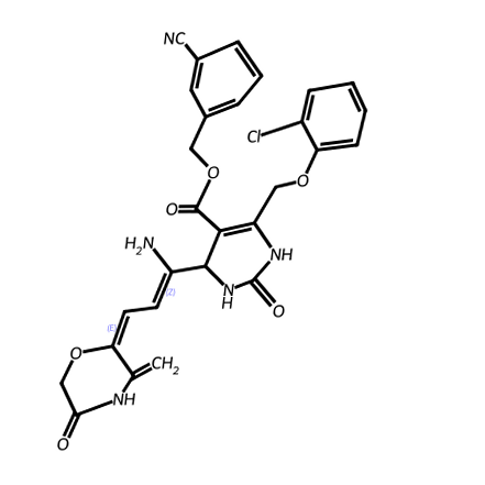 C=C1NC(=O)CO/C1=C/C=C(\N)C1NC(=O)NC(COc2ccccc2Cl)=C1C(=O)OCc1cccc(C#N)c1